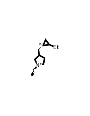 C=C=[N+]1CCC(C[C@@H]2CC2CC)C1